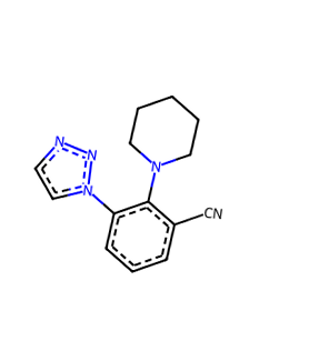 N#Cc1cccc(-n2ccnn2)c1N1CCCCC1